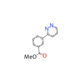 COC(=O)c1cccc(-c2cccnn2)c1